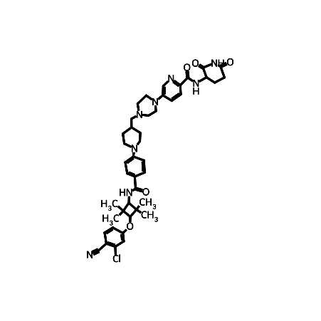 CC1(C)C(NC(=O)c2ccc(N3CCC(CN4CCN(c5ccc(C(=O)NC6CCC(=O)NC6=O)nc5)CC4)CC3)cc2)C(C)(C)C1Oc1ccc(C#N)c(Cl)c1